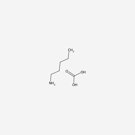 CCCCCN.O=C(O)O